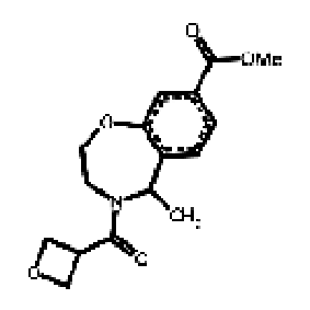 COC(=O)c1ccc2c(c1)OCCN(C(=O)C1COC1)C2C